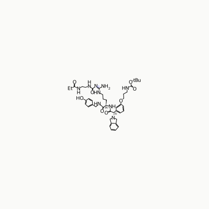 CCC(=O)NCCNC(=O)/N=C(/N)NCCC[C@@H](NC(=O)[C@H](c1cccc(OCCCNC(=O)OC(C)(C)C)c1)N1Cc2ccccc2C1)C(=O)NCc1ccc(O)cc1